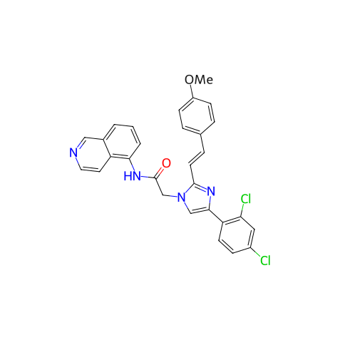 COc1ccc(C=Cc2nc(-c3ccc(Cl)cc3Cl)cn2CC(=O)Nc2cccc3cnccc23)cc1